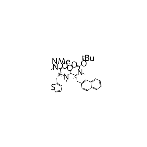 CNN(C)C(=O)[C@@H](Cc1cccs1)N(C)C(=O)[C@@H](Cc1ccc2ccccc2c1)N(C)C(=O)OC(C)(C)C